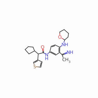 CC(=N)c1cc(NC(=O)C(c2ccsc2)C2CCCC2)ccc1NC1CCCCO1